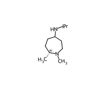 CC(C)NC1CC[C@@H](C)N(C)CC1